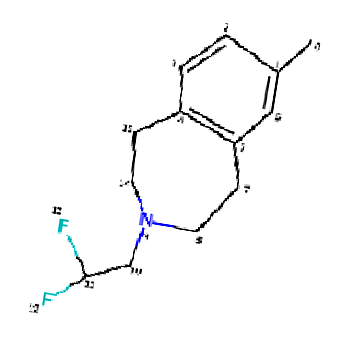 Cc1ccc2c(c1)CCN(CC(F)F)CC2